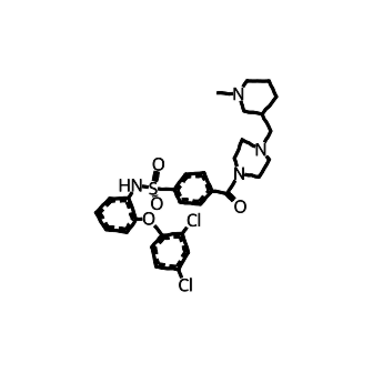 CN1CCCC(CN2CCN(C(=O)c3ccc(S(=O)(=O)Nc4ccccc4Oc4ccc(Cl)cc4Cl)cc3)CC2)C1